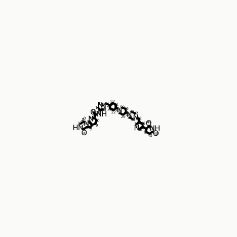 C[C@@H]1CNC(=O)c2cc3ccc(C(=O)Nc4cnn(Cc5ccc(N6CCC(N7CCN(Cc8cncc(C9CCC(=O)NC9=O)c8)CC7)CC6)cc5)c4)nc3n21